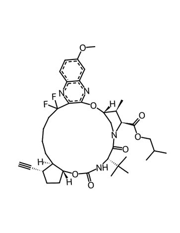 C#C[C@H]1CC[C@H]2OC(=O)N[C@@H](C(C)(C)C)C(=O)N3C[C@H](Oc4nc5cc(OC)ccc5nc4C(F)(F)CCCC[C@H]12)[C@@H](C)[C@H]3C(=O)OCC(C)C